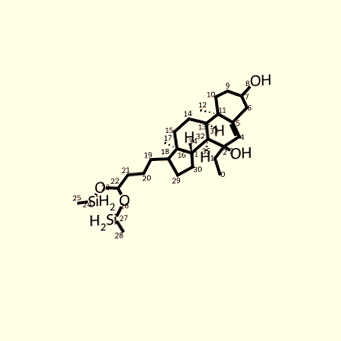 CCC1(O)C=C2CC(O)CC[C@]2(C)[C@@H]2CC[C@]3(C)C(CCCC(O[SiH2]C)O[SiH2]C)CC[C@H]3[C@@H]21